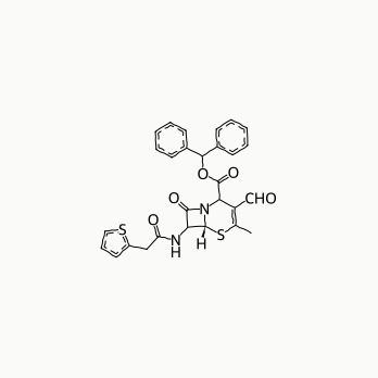 CC1=C(C=O)C(C(=O)OC(c2ccccc2)c2ccccc2)N2C(=O)C(NC(=O)Cc3cccs3)[C@H]2S1